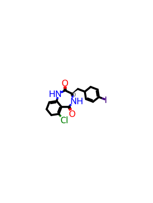 O=C1N[C@H](CC2C=CC(I)=CC2)C(=O)NC2=CCCC(Cl)=C12